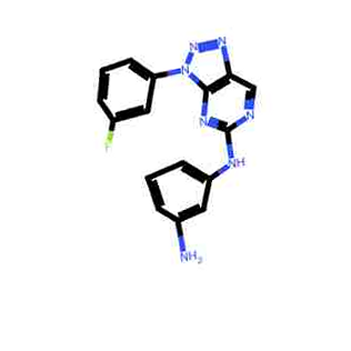 Nc1cccc(Nc2ncc3nnn(-c4cccc(F)c4)c3n2)c1